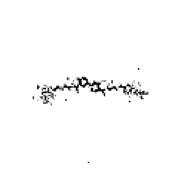 CCCC[Si](C)(C)O[Si](C)(C)CCCOCCOC(=O)c1ccc(-c2ccc(C(=O)O)c(C(=O)OCCOCCC[Si](C)(C)O[Si](C)(C)C)c2)cc1C(=O)O